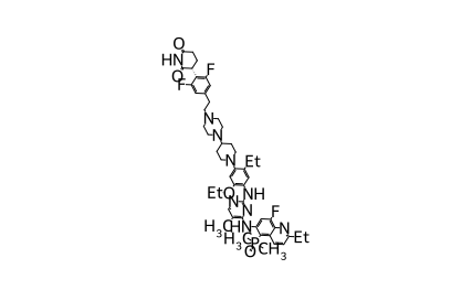 CCOc1cc(N2CCC(N3CCN(CCc4cc(F)c([C@H]5CCC(=O)NC5=O)c(F)c4)CC3)CC2)c(CC)cc1Nc1ncc(C)c(Nc2cc(F)c3nc(CC)ccc3c2P(C)(C)=O)n1